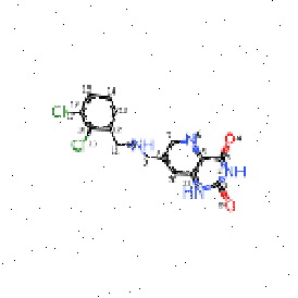 O=c1[nH]c(=O)c2ncc(CNCc3cccc(Cl)c3Cl)cc2[nH]1